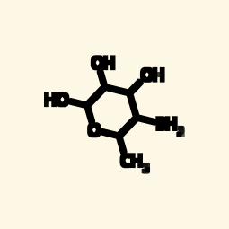 BC1C(C)OC(O)C(O)C1O